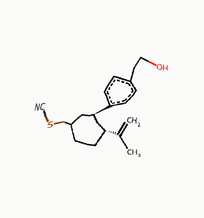 C=C(C)[C@@H]1CCC(SC#N)C[C@H]1c1ccc(CO)cc1